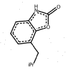 CC(C)Cc1cccc2[nH]c(=O)oc12